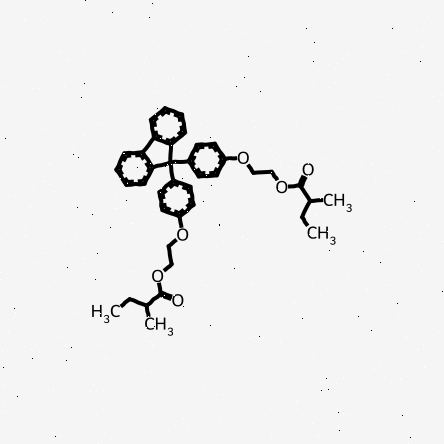 CCC(C)C(=O)OCCOc1ccc(C2(c3ccc(OCCOC(=O)C(C)CC)cc3)c3ccccc3-c3ccccc32)cc1